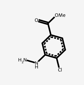 COC(=O)c1ccc(Cl)c(NN)c1